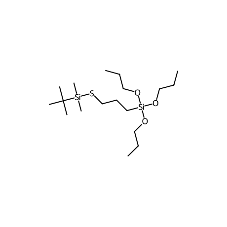 CCCO[Si](CCCS[Si](C)(C)C(C)(C)C)(OCCC)OCCC